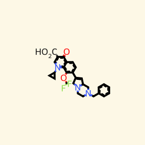 O=C(O)c1cn(C2CC2)c2c(OC(F)F)c(C3=CC4CN(Cc5ccccc5)CCN4C3)ccc2c1=O